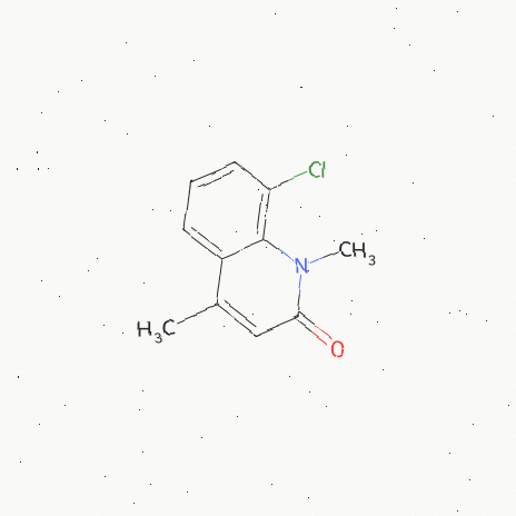 Cc1cc(=O)n(C)c2c(Cl)cccc12